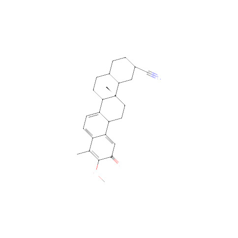 COC1=C(C)C2=CC=C3[C@@](C)(CC[C@@]4(C)[C@@H]5C[C@](C)(C#N)CC[C@]5(C)CC[C@]34C)C2=CC1=O